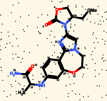 COC[C@@H]1COC(=O)N1c1cn2c(n1)-c1ccc(NC(C)C(N)=O)cc1OCC2